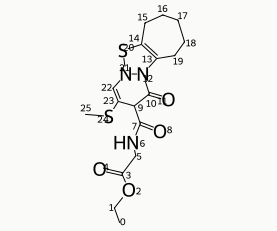 CCOC(=O)CNC(=O)C1C(=O)N2C3=C(CCCCC3)SN2C=C1SC